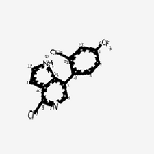 FC(F)(F)c1ccc(-c2cnc(Cl)c3cc[nH]c23)c(Cl)c1